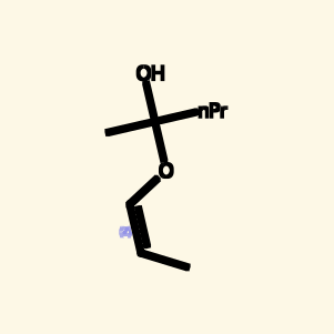 C/C=C\OC(C)(O)CCC